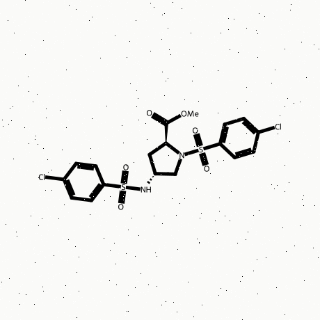 COC(=O)[C@@H]1C[C@@H](NS(=O)(=O)c2ccc(Cl)cc2)CN1S(=O)(=O)c1ccc(Cl)cc1